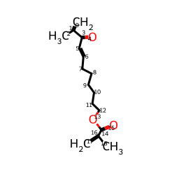 C=C(C)C(=O)C=CCCCCCCOC(=O)C(=C)C